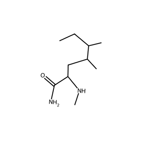 CCC(C)C(C)CC(NC)C(N)=O